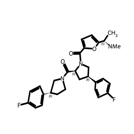 CN[C@@H](C)c1ccc(C(=O)N2C[C@@H](c3ccc(F)cc3)C[C@H]2C(=O)N2CC[C@H](c3ccc(F)cc3)C2)o1